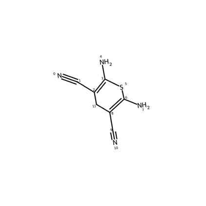 N#CC1=C(N)SC(N)=C(C#N)C1